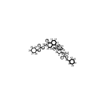 O=C(NC1CCN(S(=O)(=O)c2cccc3c(=O)n(COC(=O)OC4CCCCC4)ccc23)C12CC2)OCc1ccccc1